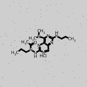 CCCNc1nc(N(C)C)c2nc(NN(CCC)C(C)=O)ncc2n1.Cl